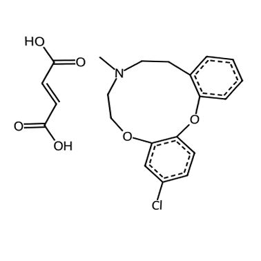 CN1CCOc2cc(Cl)ccc2Oc2ccccc2CC1.O=C(O)C=CC(=O)O